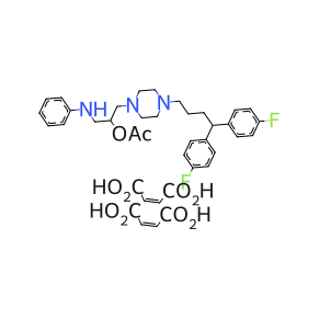 CC(=O)OC(CNc1ccccc1)CN1CCN(CCCC(c2ccc(F)cc2)c2ccc(F)cc2)CC1.O=C(O)/C=C\C(=O)O.O=C(O)/C=C\C(=O)O